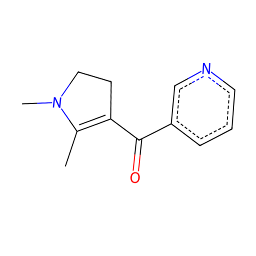 CC1=C(C(=O)c2cccnc2)CCN1C